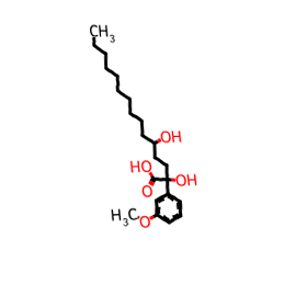 CCCCCCCCCCC(O)CCC(O)(C(=O)O)c1cccc(OC)c1